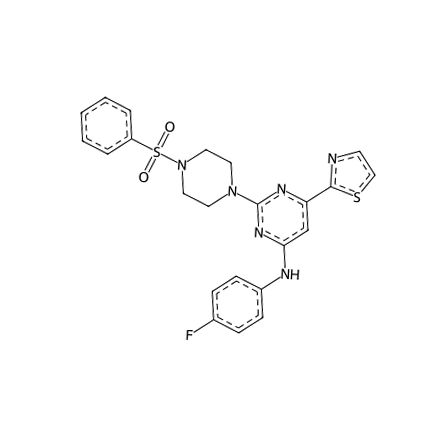 O=S(=O)(c1ccccc1)N1CCN(c2nc(Nc3ccc(F)cc3)cc(-c3nccs3)n2)CC1